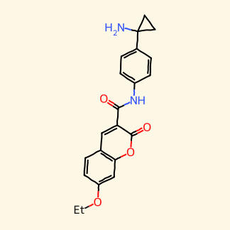 CCOc1ccc2cc(C(=O)Nc3ccc(C4(N)CC4)cc3)c(=O)oc2c1